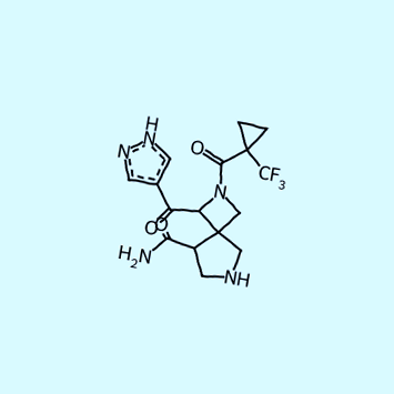 NC(=O)C1CNCC12CN(C(=O)C1(C(F)(F)F)CC1)C2C(=O)c1cn[nH]c1